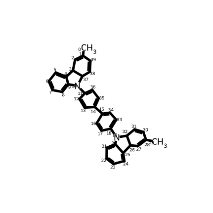 CC1=CC2c3ccccc3N(c3ccc(-c4ccc(N5c6ccccc6C6C=C(C)C=CC65)cc4)cc3)C2C=C1